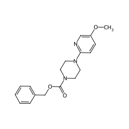 COc1ccc(N2CCN(C(=O)OCc3ccccc3)CC2)nc1